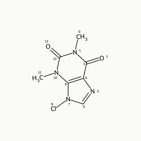 Cn1c(=O)c2ncn(Cl)c2n(C)c1=O